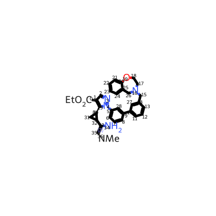 CCOC(=O)c1cnn(-c2cccc(-c3cccc(CN4CCOc5ccccc5C4)c3)c2)c1[C@@H]1CC1/C(N)=C/NC